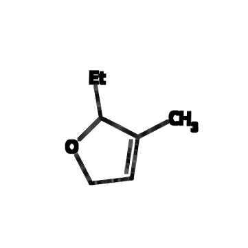 CCC1OCC=C1C